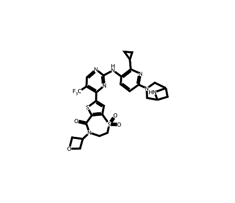 O=C1c2sc(-c3nc(Nc4ccc(N5CC6CC(C5)N6)nc4C4CC4)ncc3C(F)(F)F)cc2S(=O)(=O)CCN1C1COC1